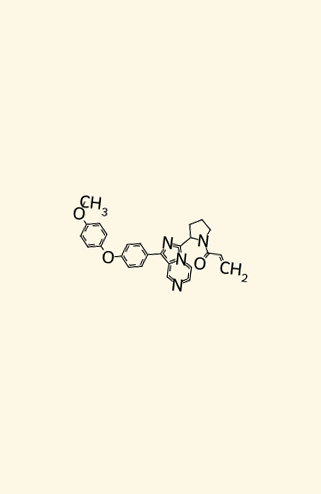 C=CC(=O)N1CCCC1c1nc(-c2ccc(Oc3ccc(OC)cc3)cc2)c2cnccn12